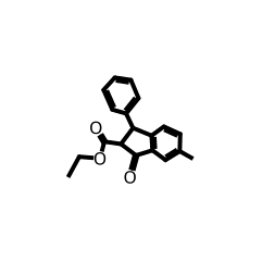 CCOC(=O)C1C(=O)c2cc(C)ccc2C1c1ccccc1